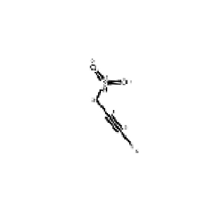 O=[SH](=O)CC#CI